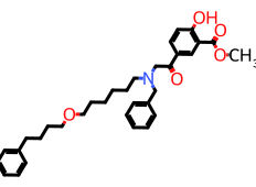 COC(=O)c1cc(C(=O)CN(CCCCCCOCCCCc2ccccc2)Cc2ccccc2)ccc1O